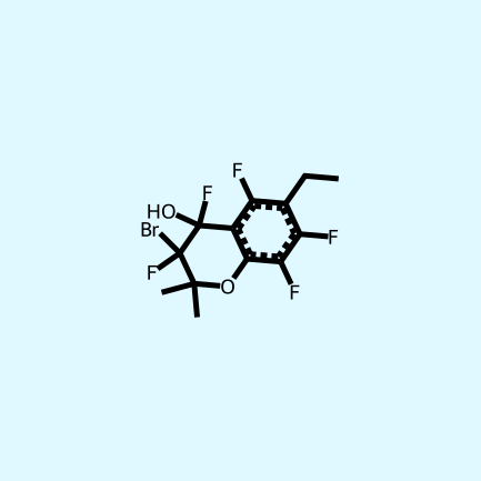 CCc1c(F)c(F)c2c(c1F)C(O)(F)C(F)(Br)C(C)(C)O2